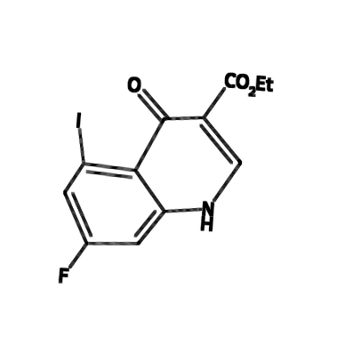 CCOC(=O)c1c[nH]c2cc(F)cc(I)c2c1=O